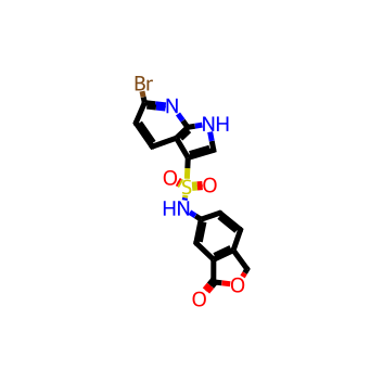 O=C1OCc2ccc(NS(=O)(=O)c3c[nH]c4nc(Br)ccc34)cc21